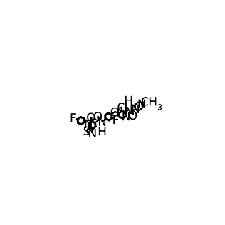 CN1CCN(C(=O)Nc2nccc(Oc3ccc(NC(=O)c4cc5ncsc5n(-c5ccc(F)cc5)c4=O)cc3F)c2Cl)CC1